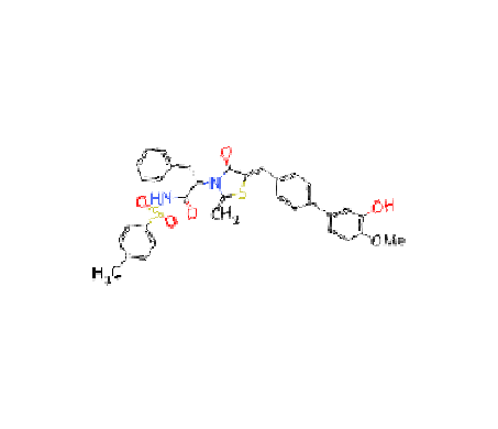 C=c1s/c(=C\c2ccc(-c3ccc(OC)c(O)c3)cc2)c(=O)n1[C@@H](Cc1ccccc1)C(=O)NS(=O)(=O)c1ccc(C)cc1